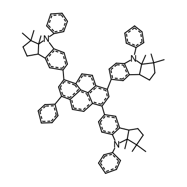 CC1(C)CCC2c3cc(-c4cc(-c5ccccc5)c5ccc6c(-c7ccc8c(c7)C7CCC(C)(C)C7(C)N8c7ccccc7)cc(-c7ccc8c(c7)C7CCC(C)(C)C7(C)N8c7ccccc7)c7ccc4c5c67)ccc3N(c3ccccc3)C21C